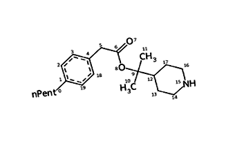 CCCCCc1ccc(CC(=O)OC(C)(C)C2CCNCC2)cc1